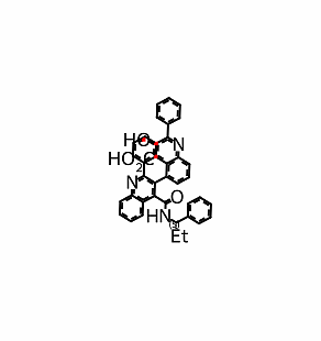 CC[C@H](NC(=O)c1c(-c2cccc3nc(-c4ccccc4)c(O)c(C(=O)O)c23)c(-c2ccccc2)nc2ccccc12)c1ccccc1